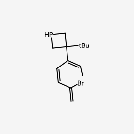 C=C(Br)/C=C\C(=C/C)C1(C(C)(C)C)CPC1